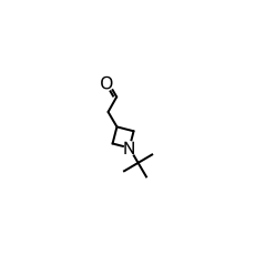 CC(C)(C)N1CC(CC=O)C1